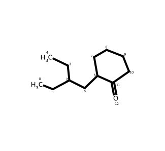 CCC(CC)CC1CCCCC1=O